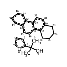 CC(C)(O)c1ccco1.c1ccc2c(c1)ccc1c3c(ccc12)CCCC3